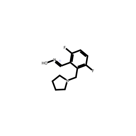 O/N=C/c1c(F)ccc(F)c1CN1CCCC1